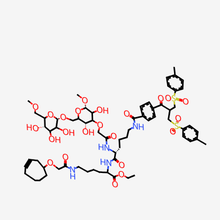 CCOC(=O)C(CCCCNC(=O)COC1CC#CCCCC1)NC(=O)[C@@H](CCCCNC(=O)c1ccc(C(=O)C(CS(=O)(=O)c2ccc(C)cc2)CS(=O)(=O)c2ccc(C)cc2)cc1)NC(=O)COC1C(O)[C@@H](OC)OC(CO[C@H]2OC(COC)[C@@H](O)C(O)C2O)[C@H]1O